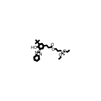 CCO[Si](C)(CCCOC(=O)CCc1cc(-n2nc3ccccc3n2)c(O)c(C(C)(C)C)c1)OCC